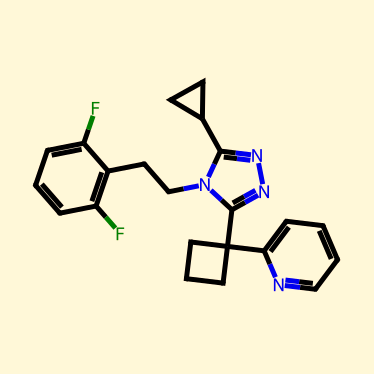 Fc1cccc(F)c1CCn1c(C2CC2)nnc1C1(c2ccccn2)CCC1